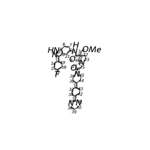 COC[C@@]1(C(=O)Nc2ccc3[nH]nc(-c4ccc(F)cc4)c3c2)CCN(CC(=O)N2CCC(c3ccc(-c4ncccn4)cc3)CC2)C1